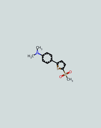 CN(C)c1ccc(-c2ccc(S(C)(=O)=O)s2)cc1